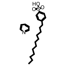 CCCCCCCCCCCCc1ccc(S(=O)(=O)O)cc1.c1ccncc1